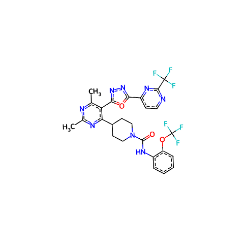 Cc1nc(C)c(-c2nnc(-c3ccnc(C(F)(F)F)n3)o2)c(C2CCN(C(=O)Nc3ccccc3OC(F)(F)F)CC2)n1